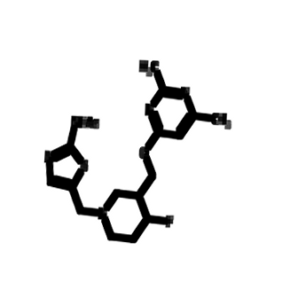 CC(=O)Nc1ncc(CN2CCC(F)C(COc3cc(C)nc(C)n3)C2)s1